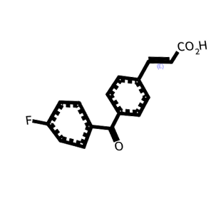 O=C(O)/C=C/c1ccc(C(=O)c2ccc(F)cc2)cc1